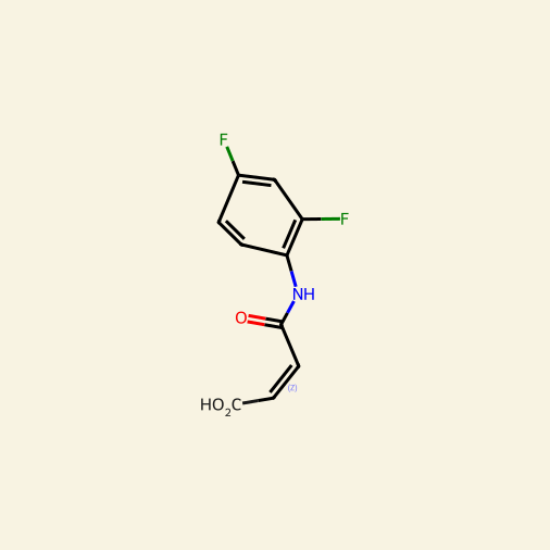 O=C(O)/C=C\C(=O)Nc1ccc(F)cc1F